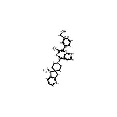 Cc1nc(N2CCC3(CC2)Cc2ncccc2[C@H]3N)c2ccnn2c1-c1cccc(CO)c1